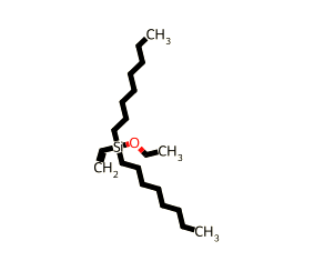 C=C[Si](CCCCCCCC)(CCCCCCCC)OCC